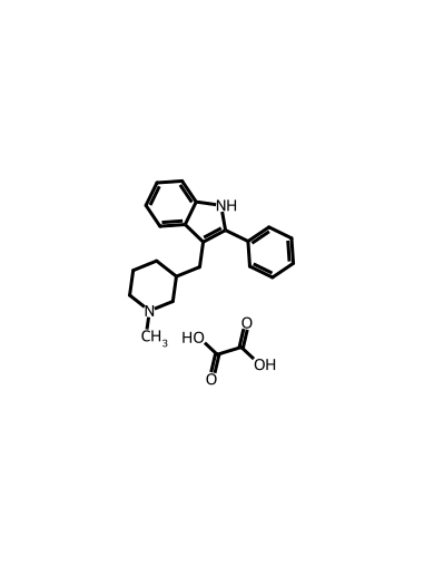 CN1CCCC(Cc2c(-c3ccccc3)[nH]c3ccccc23)C1.O=C(O)C(=O)O